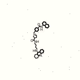 O=C(Nc1cccc2ccccc12)c1ccc(CN2CCC(C(=O)NCCCCNc3c4c(nc5ccccc35)CCCC4)C2)cc1